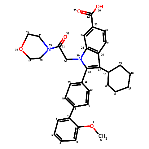 COc1ccccc1-c1ccc(-c2c(C3CCCCC3)c3ccc(C(=O)O)cc3n2CC(=O)N2CCOCC2)cc1